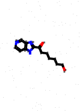 [O]CCCCCCC(=O)c1nc2cnccc2[nH]1